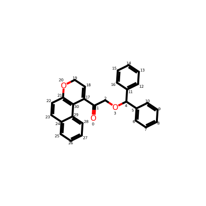 O=C(COC(c1ccccc1)c1ccccc1)C1=CCOc2ccc3ccccc3c21